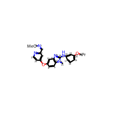 CO/N=C\c1cc(Oc2ccc3c(c2)nc(Nc2cccc(OC(C)C)c2)n3C)ccn1